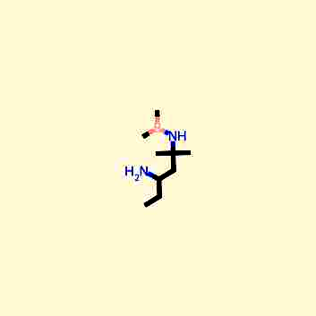 CCC(N)CC(C)(C)NB(C)C